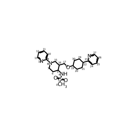 CS(=O)(=O)NC1CCN(c2ccccn2)CC1COC1CCC(c2ccccn2)CC1